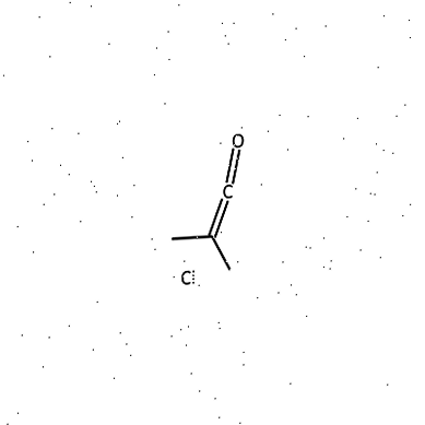 CC(C)=C=O.[C]